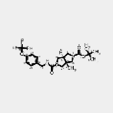 CC(C)(C)OC(=O)N1C[C@@H]2CN(C(=O)OCc3ccc(OC(F)(F)F)cc3)C[C@@]2(C)C1